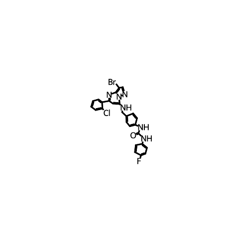 O=C(Nc1ccc(F)cc1)Nc1ccc(CNc2cc(-c3ccccc3Cl)nc3c(Br)cnn23)cc1